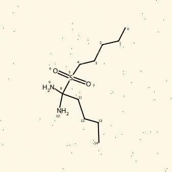 CCCCCS(=O)(=O)C(N)(N)CCCC